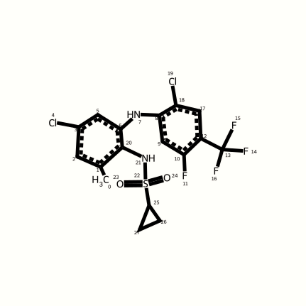 Cc1cc(Cl)cc(Nc2cc(F)c(C(F)(F)F)cc2Cl)c1NS(=O)(=O)C1CC1